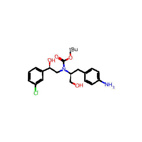 CC(C)(C)OC(=O)N(C[C@H](O)c1cccc(Cl)c1)[C@H](CO)Cc1ccc(N)cc1